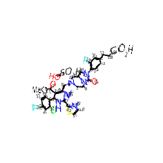 COC(=O)C1=C(CN2CCN3C(=O)N(c4ccc(CCC(=O)O)cc4F)CC3C2)N=C(c2nccs2)NC1c1ccc(F)cc1Cl.O=S(=O)(O)O